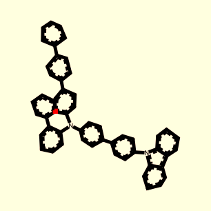 c1ccc(-c2ccc(-c3ccc(N(c4ccc(-c5ccc(-n6c7ccccc7c7ccccc76)cc5)cc4)c4ccccc4-c4ccccc4)cc3)cc2)cc1